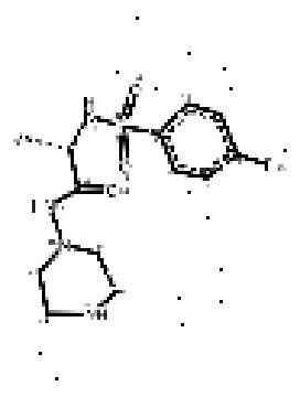 C[C@H](NS(=O)(=O)c1ccc(F)cc1)C(=O)NN1CCNCC1